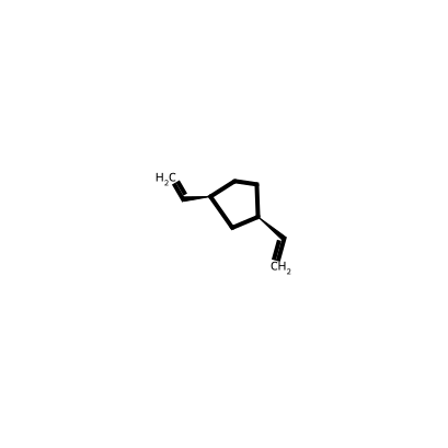 C=C[C@@H]1CC[C@H](C=C)C1